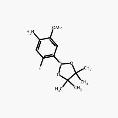 COc1cc(B2OC(C)(C)C(C)(C)O2)c(F)cc1N